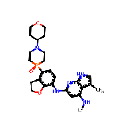 CCNc1cc(Nc2ccc(P3(=O)CCN(C4CCOCC4)CC3)c3c2OCC3)nc2[nH]cc(C(F)(F)F)c12